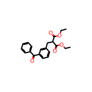 CCOC(=O)C(Cc1cccc(C(=O)c2ccccc2)c1)C(=O)OCC